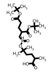 CC(CCC(C)(C)O[PH](=O)CC(CCC(=O)OC(C)(C)C)C(=O)OC(C)(C)C)C(=O)O